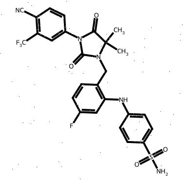 CC1(C)C(=O)N(c2ccc(C#N)c(C(F)(F)F)c2)C(=O)N1Cc1ccc(F)cc1Nc1ccc(S(N)(=O)=O)cc1